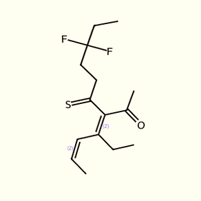 C/C=C\C(CC)=C(\C(C)=O)C(=S)CCC(F)(F)CC